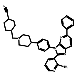 N#CC1CCC(CN2CCC(c3ccc(-n4c(-c5cccnc5N)nc5ccc(-c6ccccc6)nc54)cc3)CC2)CC1